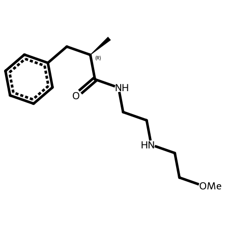 COCCNCCNC(=O)[C@H](C)Cc1ccccc1